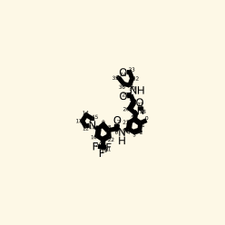 Cc1ccc(NC(=O)c2cc(N3CCCC3)cc(C(F)(F)F)c2)cc1-c1cc(C(=O)NC2CCOCC2)on1